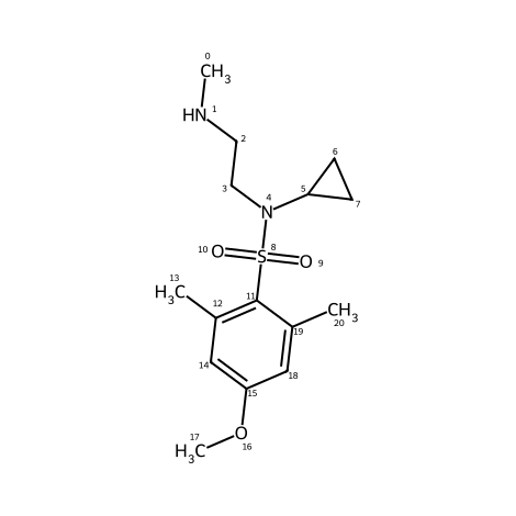 CNCCN(C1CC1)S(=O)(=O)c1c(C)cc(OC)cc1C